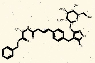 CC(=O)OC[C@H]1O[C@@H](Oc2n[nH]c(C(C)C)c2Cc2ccc(/C=C/CC(=O)N[C@@H](C)C(=O)OCc3ccccc3)cc2)[C@H](OC(C)=O)[C@@H](OC(C)=O)[C@@H]1OC(C)=O